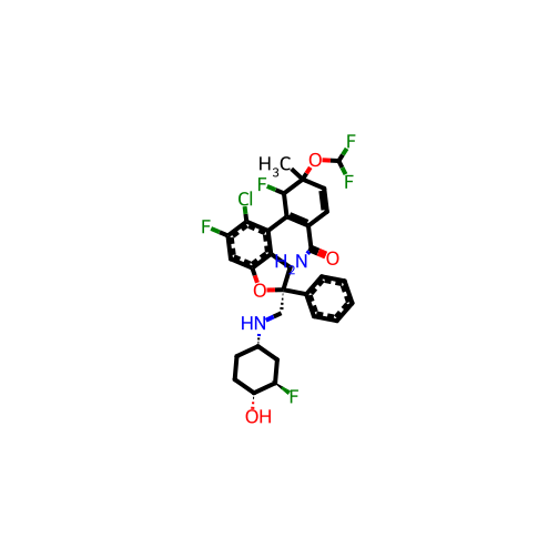 CC1(OC(F)F)C=CC(C(N)=O)=C(c2c(Cl)c(F)cc3c2C[C@@](CN[C@H]2CC[C@@H](O)[C@H](F)C2)(c2ccccc2)O3)C1F